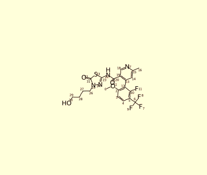 COc1ccc(C(F)(F)F)c(F)c1-c1cc(C)ncc1C(=O)Nc1nn(CCCCO)c(=O)s1